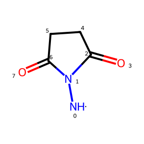 [NH]N1C(=O)CCC1=O